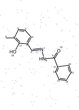 Cc1cccc(/C=N/NC(=O)c2ccccc2)c1O